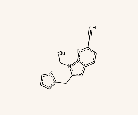 C#Cc1ncc2cc(Cc3cccs3)n(CC(C)(C)C)c2n1